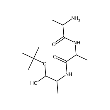 CC(N)C(=O)NC(C)C(=O)NC(C)C(O)OC(C)(C)C